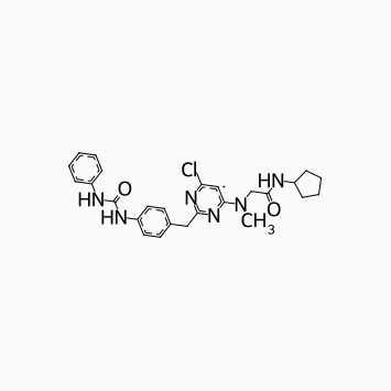 CN(CC(=O)NC1CCCC1)c1[c]c(Cl)nc(Cc2ccc(NC(=O)Nc3ccccc3)cc2)n1